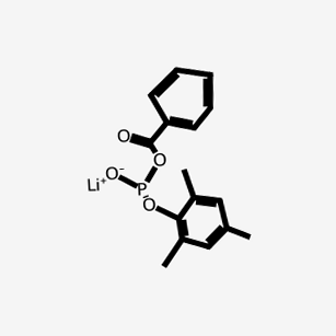 Cc1cc(C)c(OP([O-])OC(=O)c2ccccc2)c(C)c1.[Li+]